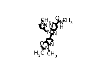 CCN1c2ncc(-c3nc4cc(C(=O)NC)cnc4n3Cc3ccn(C)n3)cc2OC[C@H]1C